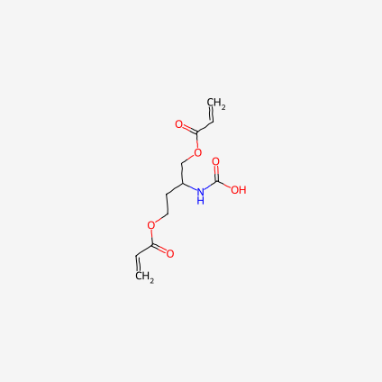 C=CC(=O)OCCC(COC(=O)C=C)NC(=O)O